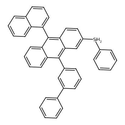 c1ccc([SiH2]c2ccc3c(-c4cccc5ccccc45)c4ccccc4c(-c4cccc(-c5ccccc5)c4)c3c2)cc1